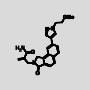 C=C(CN1Cc2c(ccc3ccc(-c4cnn(CCOC)c4)cc23)C1=O)C(N)=O